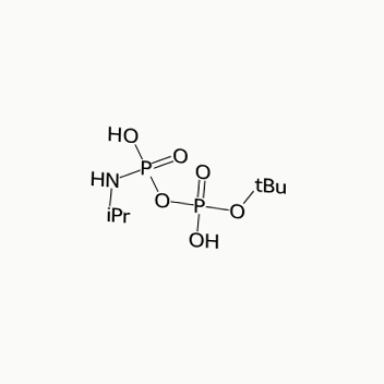 CC(C)NP(=O)(O)OP(=O)(O)OC(C)(C)C